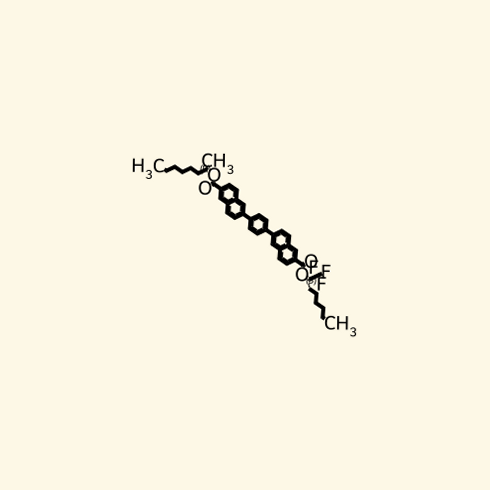 CCCCCC[C@@H](C)OC(=O)c1ccc2cc(-c3ccc(-c4ccc5cc(C(=O)O[C@@H](CCCCCC)C(F)(F)F)ccc5c4)cc3)ccc2c1